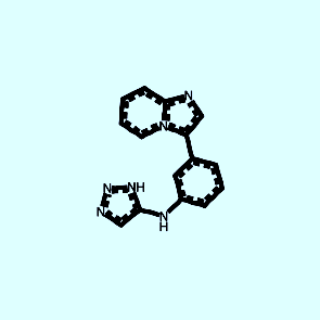 c1cc(Nc2cnn[nH]2)cc(-c2cnc3ccccn23)c1